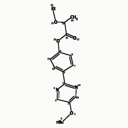 CCCCOc1cnc(-c2ccc(OC(=O)C(C)OCC)cc2)nc1